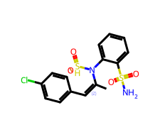 C/C(=C/c1ccc(Cl)cc1)N(c1ccccc1S(N)(=O)=O)[SH](=O)=O